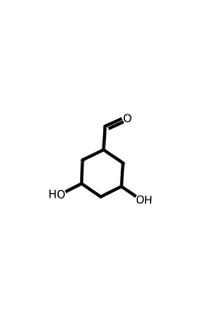 O=CC1CC(O)CC(O)C1